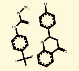 NNC(=O)Nc1ccc(C(F)(F)F)cc1.O=C1CC(c2ccc(Cl)cc2)Nc2ccccc21